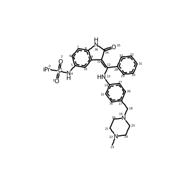 CC(C)S(=O)(=O)Nc1ccc2c(c1)C(=C(Nc1ccc(CN3CCN(C)CC3)cc1)c1ccccc1)C(=O)N2